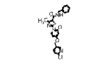 Cc1nc(-n2ccc(OCc3ccc(Cl)nc3)cc2=O)sc1C(=O)NCc1ccccc1